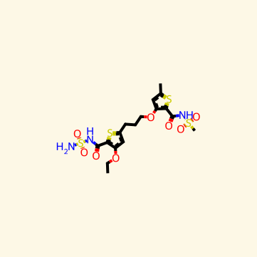 CCOc1cc(CCCOc2cc(C)sc2C(=O)NS(C)(=O)=O)sc1C(=O)NS(N)(=O)=O